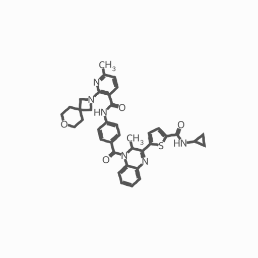 Cc1ccc(C(=O)Nc2ccc(C(=O)N3c4ccccc4N=C(c4ccc(C(=O)NC5CC5)s4)C3C)cc2)c(N2CC3(CCOCC3)C2)n1